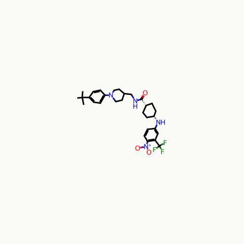 CC(C)(C)c1ccc(N2CCC(CNC(=O)[C@H]3CC[C@@H](Nc4ccc([N+](=O)[O-])c(C(F)(F)F)c4)CC3)CC2)cc1